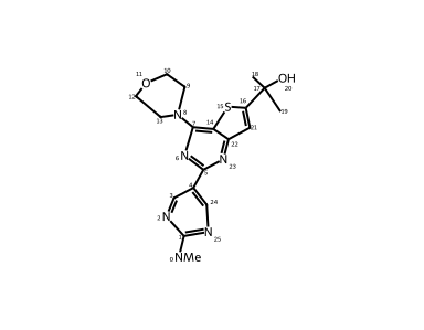 CNc1ncc(-c2nc(N3CCOCC3)c3sc(C(C)(C)O)cc3n2)cn1